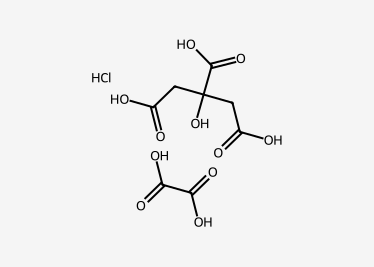 Cl.O=C(O)C(=O)O.O=C(O)CC(O)(CC(=O)O)C(=O)O